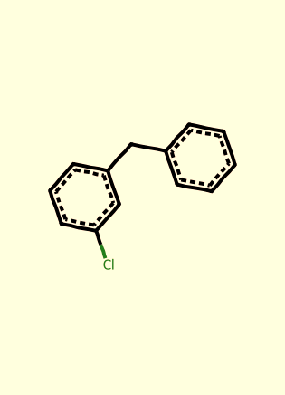 Clc1cccc(Cc2ccccc2)c1